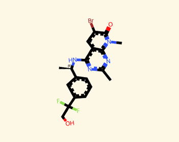 Cc1nc(N[C@H](C)c2cccc(C(F)(F)CO)c2)c2cc(Br)c(=O)n(C)c2n1